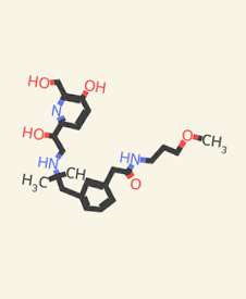 COCCCNC(=O)Cc1cccc(CC(C)(C)NCC(O)c2ccc(O)c(CO)n2)c1